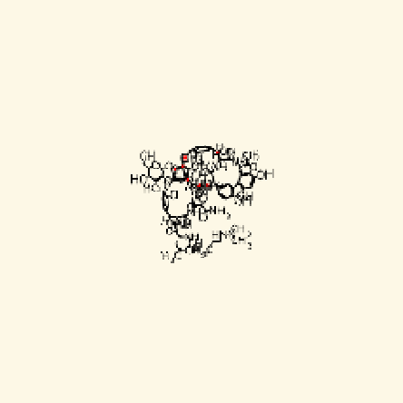 CCCNN(C)C.CN[C@H](CC(C)C)C(=O)N[C@H]1C(=O)N[C@@H](CC(N)=O)C(=O)N[C@H]2C(=O)N[C@H]3C(=O)N[C@H](C(=O)N[C@@H](C(=O)O)c4cc(O)cc(O)c4-c4cc3ccc4O)[C@H](O)c3ccc(c(Cl)c3)Oc3cc2cc(c3O[C@@H]2O[C@H](CO)[C@@H](O)[C@H](O)[C@H]2O[C@H]2C[C@](C)(N)C(O)[C@H](C)O2)Oc2ccc(cc2Cl)[C@H]1O